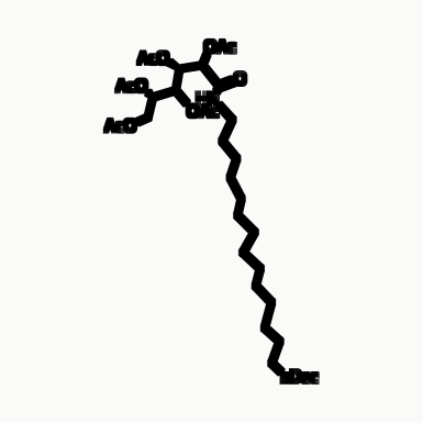 CCCCCCCCCCCCCCCCCCCCCCCCNC(=O)C(OC(C)=O)[C@H](OC(C)=O)C(OC(C)=O)[C@@H](COC(C)=O)OC(C)=O